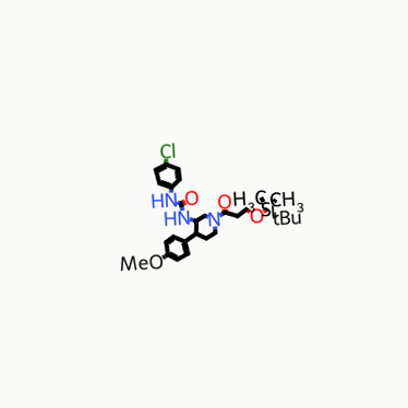 COc1ccc(C2CCN(C(=O)CCO[Si](C)(C)C(C)(C)C)CC2NC(=O)Nc2ccc(Cl)cc2)cc1